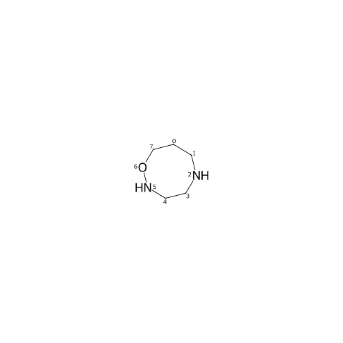 C1CNCCNOC1